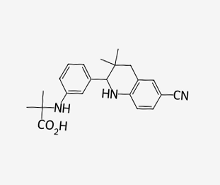 CC(C)(Nc1cccc(C2Nc3ccc(C#N)cc3CC2(C)C)c1)C(=O)O